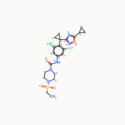 CCS(=O)(=O)N1CCN(C(=O)Nc2cc(Cl)c(C3(c4noc(C5CC5)n4)CC3)c(Cl)c2)CC1